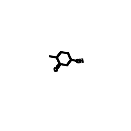 CC1CCC(O)CC1=O